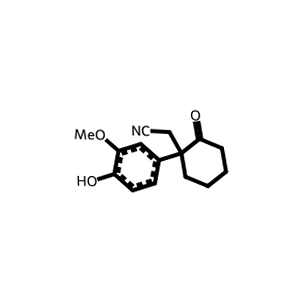 COc1cc(C2(CC#N)CCCCC2=O)ccc1O